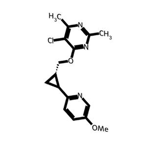 COc1ccc(C2C[C@@H]2COc2nc(C)nc(C)c2Cl)nc1